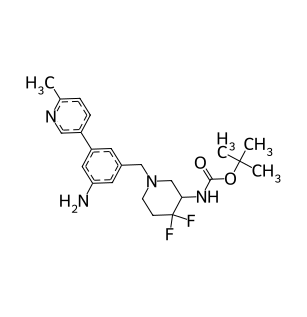 Cc1ccc(-c2cc(N)cc(CN3CCC(F)(F)C(NC(=O)OC(C)(C)C)C3)c2)cn1